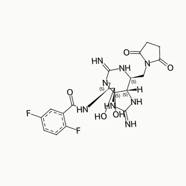 N=C1N[C@H]2[C@H](CN3C(=O)CCC3=O)NC(=N)N3C[C@H](NC(=O)c4cc(F)ccc4F)C(O)(O)[C@]23N1